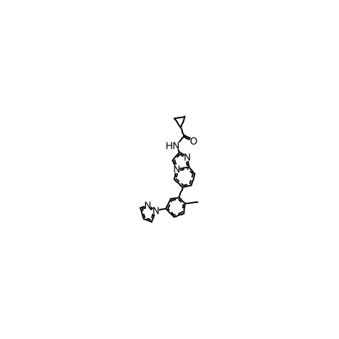 Cc1ccc(-n2cccn2)cc1-c1ccc2nc(NC(=O)C3CC3)cn2c1